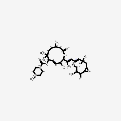 CCC(C)C(C)C1OC1CC(C)(C)/C=C/C=C(\C)C1OC(=O)CC(C)CCC(C)(C)C(OC(=O)N2CCN(C)CC2)/C=C/C1C